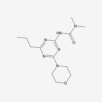 CCCc1nc(NC(=O)N(C)C)nc(N2CCOCC2)n1